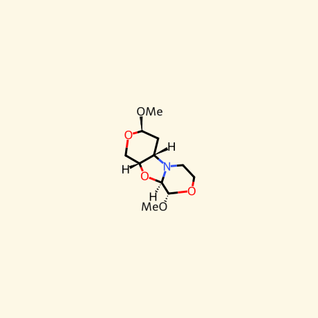 CO[C@H]1C[C@H]2[C@@H](CO1)O[C@@H]1[C@@H](OC)OCCN12